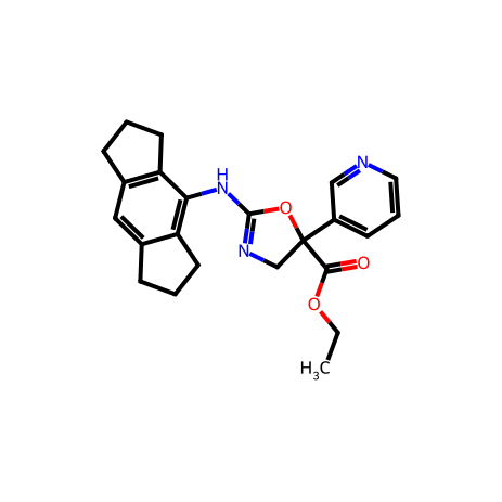 CCOC(=O)C1(c2cccnc2)CN=C(Nc2c3c(cc4c2CCC4)CCC3)O1